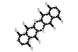 O=c1ccc(=O)c2c(=O)c3oc4c(=O)c5c(=O)ccc(=O)c5c(=O)c4oc3c(=O)c12